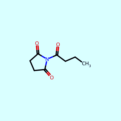 CCCC(=O)N1C(=O)CCC1=O